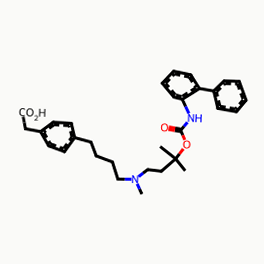 CN(CCCCc1ccc(CC(=O)O)cc1)CCC(C)(C)OC(=O)Nc1ccccc1-c1ccccc1